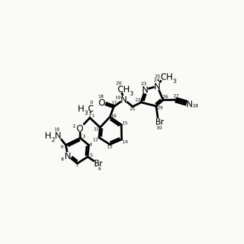 C[C@@H](Oc1cc(Br)cnc1N)c1ccccc1C(=O)N(C)Cc1nn(C)c(C#N)c1Br